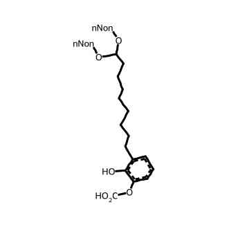 CCCCCCCCCOC(CCCCCCCCc1cccc(OC(=O)O)c1O)OCCCCCCCCC